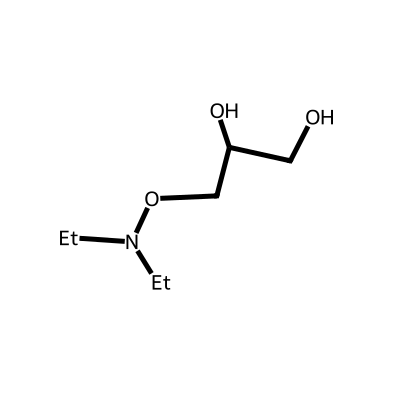 CCN(CC)OCC(O)CO